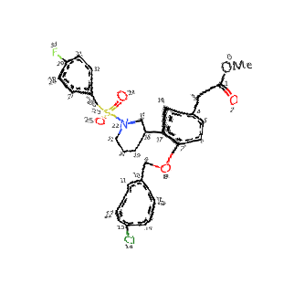 COC(=O)Cc1ccc(OCc2ccc(Cl)cc2)c(C2CCCN(S(=O)(=O)c3ccc(F)cc3)C2)c1